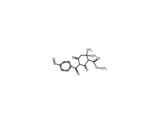 COC(=O)C1C(=O)C(C(=O)c2ccc(N=O)cc2)C(=O)CC1(C)C